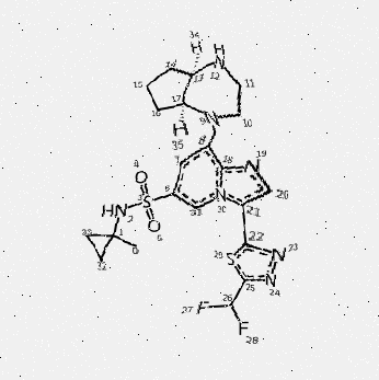 CC1(NS(=O)(=O)c2cc(N3CCN[C@@H]4CCC[C@@H]43)c3ncc(-c4nnc(C(F)F)s4)n3c2)CC1